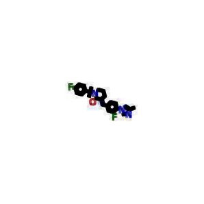 Cc1cn(-c2ccc(/C=C3\CCCN(C(C)(C)c4ccc(F)cc4)C3=O)cc2F)cn1